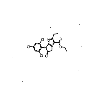 CCOC(=O)c1c(CC)nc2n1CC(=O)N2c1c(Cl)cc(Cl)cc1Cl